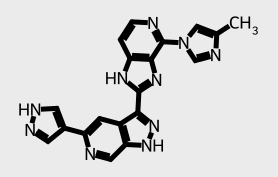 Cc1cn(-c2nccc3[nH]c(-c4n[nH]c5cnc(-c6cn[nH]c6)cc45)nc23)cn1